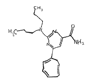 CCCN(CCC)c1nc(C(N)=O)cc(-c2ccccc2)n1